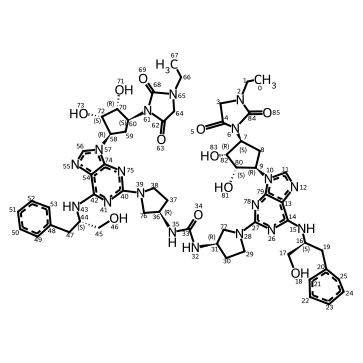 CCN1CC(=O)N([C@H]2C[C@@H](n3cnc4c(N[C@H](CO)Cc5ccccc5)nc(N5CC[C@@H](NC(=O)N[C@@H]6CCN(c7nc(N[C@H](CO)Cc8ccccc8)c8ncn([C@@H]9C[C@H](N%10C(=O)CN(CC)C%10=O)[C@@H](O)[C@H]9O)c8n7)C6)C5)nc43)[C@H](O)[C@@H]2O)C1=O